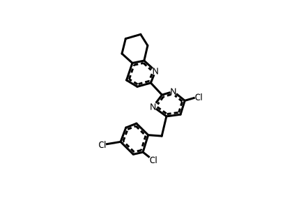 Clc1ccc(Cc2cc(Cl)nc(-c3ccc4c(n3)CCCC4)n2)c(Cl)c1